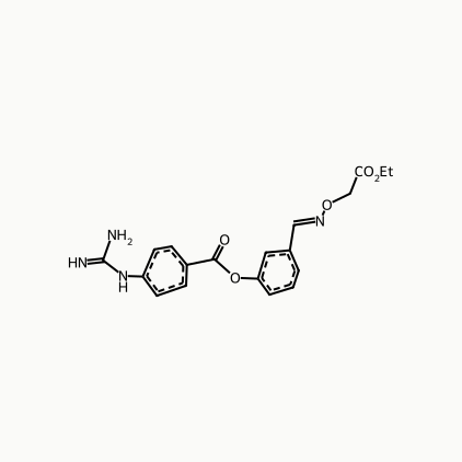 CCOC(=O)CON=Cc1cccc(OC(=O)c2ccc(NC(=N)N)cc2)c1